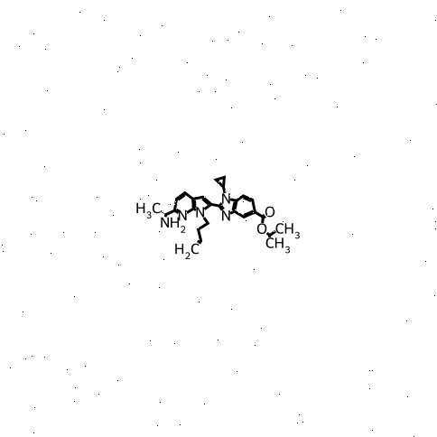 C=CCCn1c(-c2nc3cc(C(=O)OC(C)C)ccc3n2C2CC2)cc2ccc([C@@H](C)N)nc21